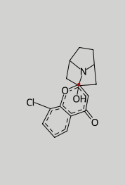 O=c1cc(N2C3CCC2CC(O)C3)oc2c(Cl)cccc12